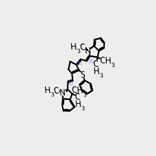 CN1/C(=C\C=C2\CCC(/C=C/C3=[N+](C)c4ccccc4C3(C)C)=C2Sc2ccccc2)C(C)(C)c2ccccc21